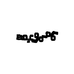 C=CC(=O)OCCOC(=O)/C=C\C(=O)OCC